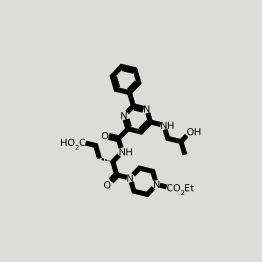 CCOC(=O)N1CCN(C(=O)[C@H](CCC(=O)O)NC(=O)c2cc(NCC(C)O)nc(-c3ccccc3)n2)CC1